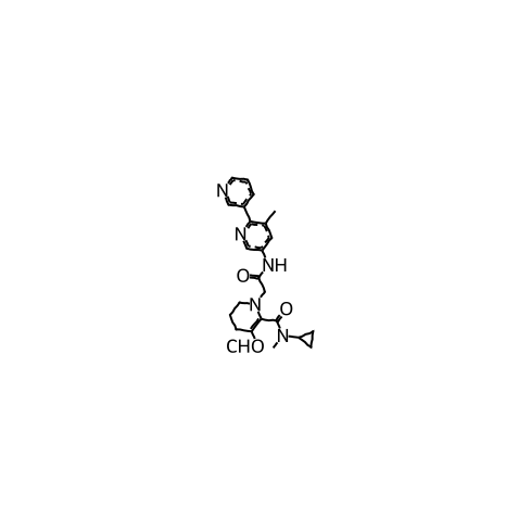 Cc1cc(NC(=O)CN2CCCC(C=O)=C2C(=O)N(C)C2CC2)cnc1-c1cccnc1